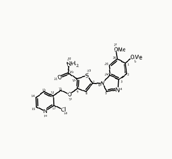 COc1cc2ncn(-c3cc(OCc4cccnc4Cl)c(C(N)=O)s3)c2cc1OC